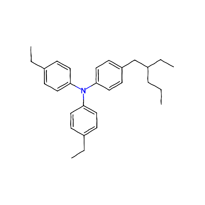 CCCC(CC)Cc1ccc(N(c2ccc(CC)cc2)c2ccc(CC)cc2)cc1